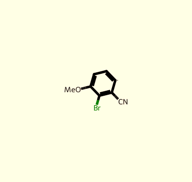 COc1cc[c]c(C#N)c1Br